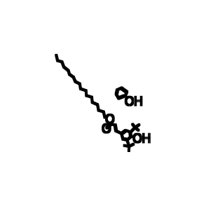 CCCCCCCCCCCCCCCCCCOC(=O)/C=C/c1cc(C(C)(C)C)c(O)c(C(C)(C)C)c1.Oc1ccccc1